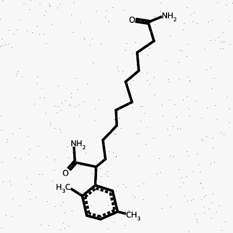 Cc1ccc(C)c(C(CCCCCCCCCC(N)=O)C(N)=O)c1